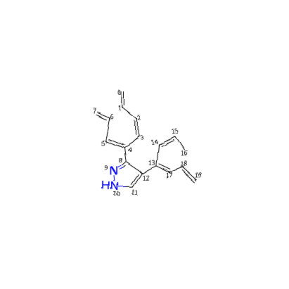 C=C/C=C\C(=C/C=C)c1n[nH]cc1C(/C=C\C)=C/C=C